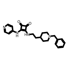 O=c1c(NCCC2CCN(Cc3ccccc3)CC2)c(Nc2ccncc2)c1=O